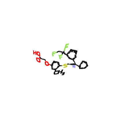 Cc1cc(OCC(=O)O)ccc1SC/C=C(/c1ccccc1)c1cccc(C(F)(F)CF)c1